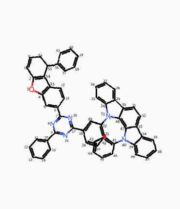 C1=Cc2oc3cc(-c4nc(-c5ccccc5)nc(-c5cccc(-n6c7ccccc7c7ccc8c9ccccc9n(-c9ccccc9)c8c76)c5)n4)ccc3c2C(c2ccccc2)C1